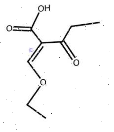 CCO/C=C(/C(=O)O)C(=O)CC